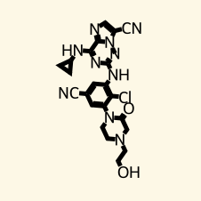 N#Cc1cc(Nc2nc(NC3CC3)c3ncc(C#N)n3n2)c(Cl)c(N2CCN(CCO)CC2=O)c1